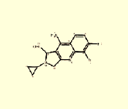 Nc1c2c(nc3c(Br)c(F)ccc13)CN(C1CC1)C2C=O